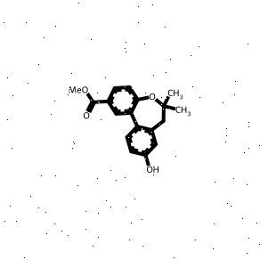 COC(=O)c1ccc2c(c1)-c1ccc(O)cc1CC(C)(C)O2